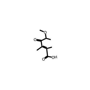 COC(C)C(=O)C(C)=C(C)C(=O)O